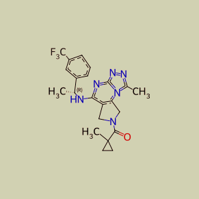 Cc1nnc2nc(N[C@H](C)c3cccc(C(F)(F)F)c3)c3c(n12)CN(C(=O)C1(C)CC1)C3